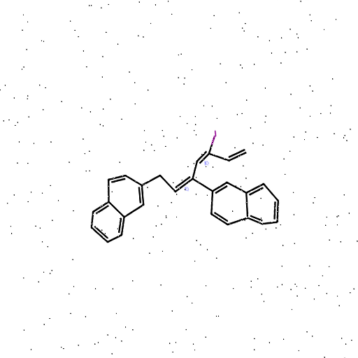 C=C/C(I)=C\C(=C/Cc1ccc2ccccc2c1)c1ccc2ccccc2c1